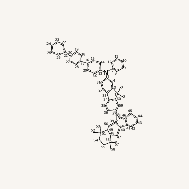 CC1(C)c2cc(N(c3ccccc3)c3ccc(-c4ccc(-c5ccccc5)cc4)cc3)ccc2-c2ccc(-n3c4c(c5ccccc53)=CC3C(C=4)C(C)(C)CCC3(C)C)cc21